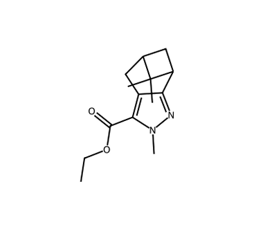 CCOC(=O)c1c2c(nn1C)C1CC(C2)C1(C)C